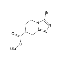 CC(C)(C)OC(=O)C1CCn2c(Br)nnc2C1